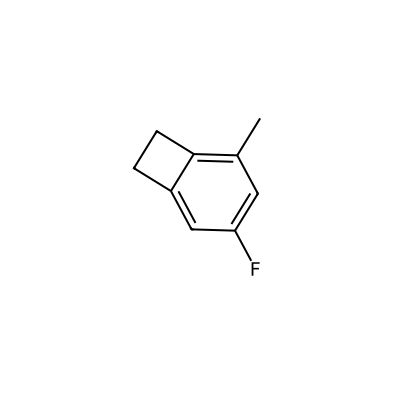 Cc1cc(F)cc2c1CC2